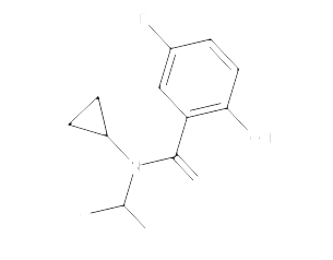 CC(C)N(C(=O)c1cc(F)ccc1O)C1CC1